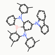 Cc1cc(C)cc(N2c3ccccc3B3c4c(C)cc(C)cc4N(c4cc(C)cc(C)c4)c4cc(-n5c6ccccc6c6ccccc65)cc2c43)c1